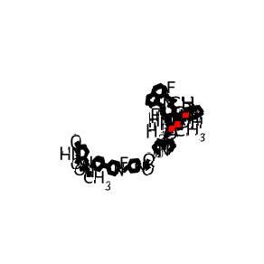 C#Cc1c(F)ccc2cccc(-c3ncc4c(N5C[C@H]6CC[C@@H](C5)N6C(=O)OC(C)(C)C)nc(OC[C@@]56CCCN5[C@H](COC(=O)N5CCC(F)(CN7CCC(c8ccc9c(c8)n(C)c(=O)n9C8CCC(=O)NC8=O)CC7)CC5)CC6)nc4c3F)c12